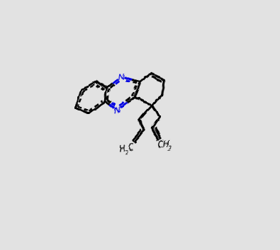 C=CCC1(CC=C)CC=Cc2nc3ccccc3nc21